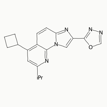 CC(C)c1cc(C2CCC2)c2ccc3nc(-c4nnco4)cn3c2n1